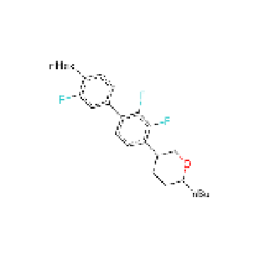 CCCCCCc1ccc(-c2ccc(C3CCC(CCCC)OC3)c(F)c2F)cc1F